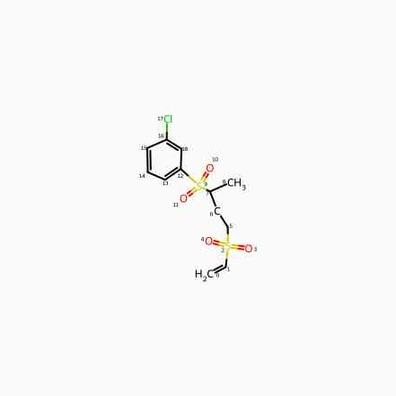 C=CS(=O)(=O)CCC(C)S(=O)(=O)c1cccc(Cl)c1